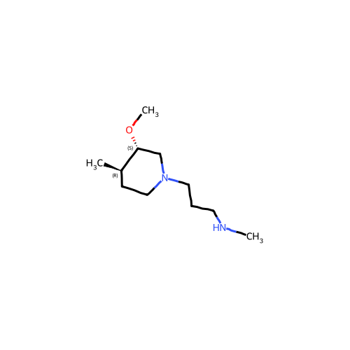 CNCCCN1CC[C@@H](C)[C@H](OC)C1